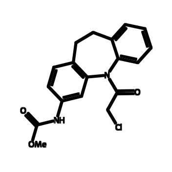 COC(=O)Nc1ccc2c(c1)N(C(=O)CCl)c1ccccc1CC2